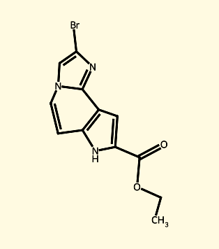 CCOC(=O)c1cc2c(ccn3cc(Br)nc23)[nH]1